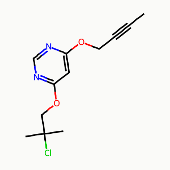 CC#CCOc1cc(OCC(C)(C)Cl)ncn1